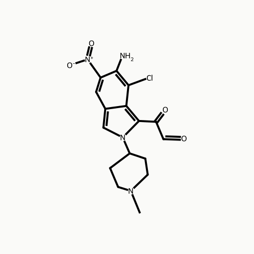 CN1CCC(n2cc3cc([N+](=O)[O-])c(N)c(Cl)c3c2C(=O)C=O)CC1